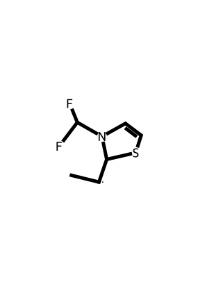 C[CH]C1SC=CN1C(F)F